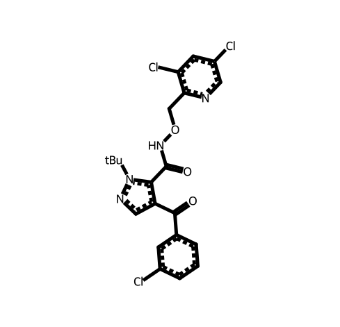 CC(C)(C)n1ncc(C(=O)c2cccc(Cl)c2)c1C(=O)NOCc1ncc(Cl)cc1Cl